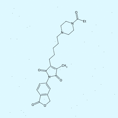 CCC(=O)N1CCN(CCCCCC2=C(C)C(=O)N(c3ccc4c(c3)COC4=O)C2=O)CC1